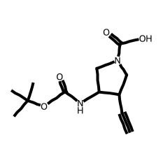 C#CC1CN(C(=O)O)CC1NC(=O)OC(C)(C)C